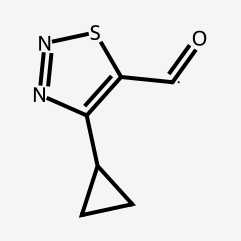 O=[C]c1snnc1C1CC1